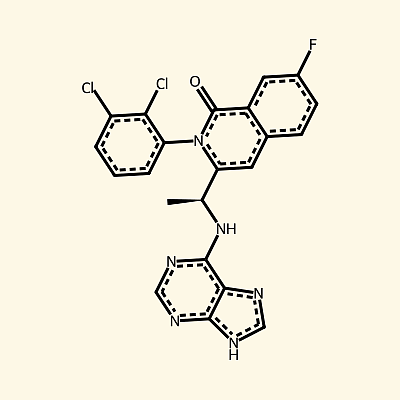 C[C@H](Nc1ncnc2[nH]cnc12)c1cc2ccc(F)cc2c(=O)n1-c1cccc(Cl)c1Cl